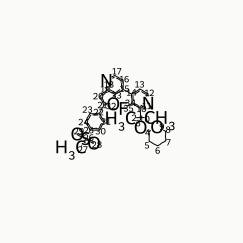 CC(C)(OC1CCCCO1)c1nccc(-c2ccnc3cc(-c4ccc(S(C)(=O)=O)cc4)oc23)c1F